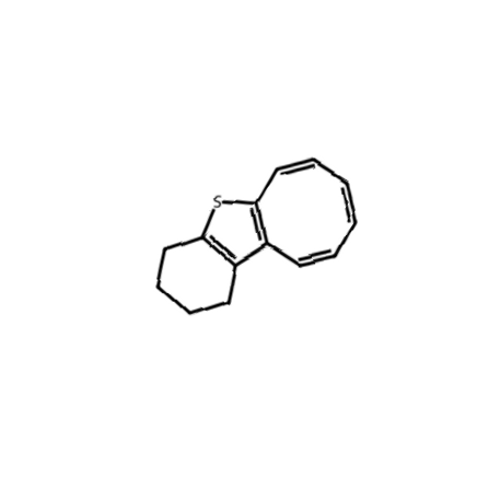 C1=C\C=C/c2c(sc3c2CCCC3)\C=C/1